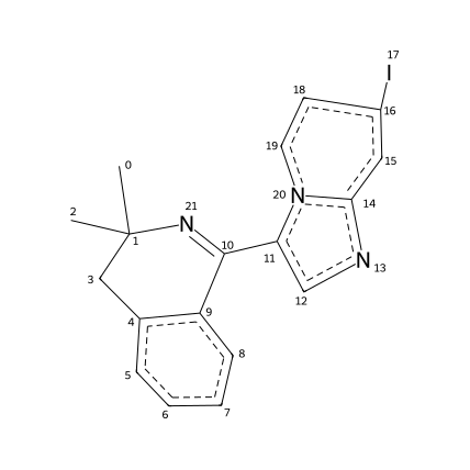 CC1(C)Cc2ccccc2C(c2cnc3cc(I)ccn23)=N1